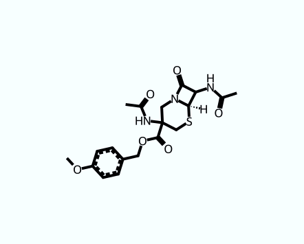 COc1ccc(COC(=O)C2(NC(C)=O)CS[C@@H]3C(NC(C)=O)C(=O)N3C2)cc1